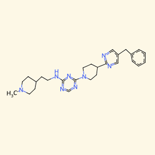 CN1CCC(CCNc2ncnc(N3CCC(c4ncc(Cc5ccccc5)cn4)CC3)n2)CC1